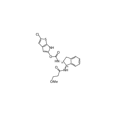 COCCC(=O)N[C@@H]1c2ccccc2C[C@H]1NC(=O)Oc1cc2cc(Cl)sc2[nH]1